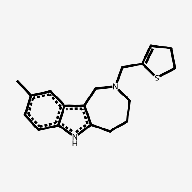 Cc1ccc2[nH]c3c(c2c1)CN(CC1=CCCS1)CCC3